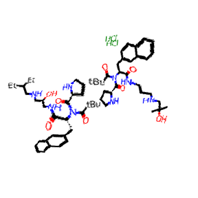 CC(C)(O)CNCCCNC(=O)C(Cc1ccc2ccccc2c1)N(C(=O)[C@@H]1CCCN1)C(=O)C(C)(C)C.CCC(CC)CNCC(O)CNC(=O)[C@@H](Cc1ccc2ccccc2c1)N(C(=O)[C@@H]1CCCN1)C(=O)C(C)(C)C.Cl.Cl